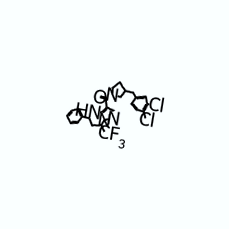 O=C(c1cnn2c1NC(c1ccccc1)CC2C(F)(F)F)N1CCC(Cc2ccc(Cl)c(Cl)c2)C1